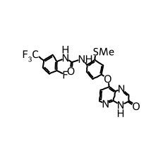 CSc1cc(Oc2ccnc3[nH]c(=O)cnc23)ccc1NC(=O)Nc1cc(C(F)(F)F)ccc1F